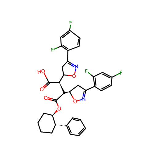 O=C(O[C@@H]1CCCC[C@H]1c1ccccc1)C([C@@H](C(=O)O)C1CC(c2ccc(F)cc2F)=NO1)[C@H]1CC(c2ccc(F)cc2F)=NO1